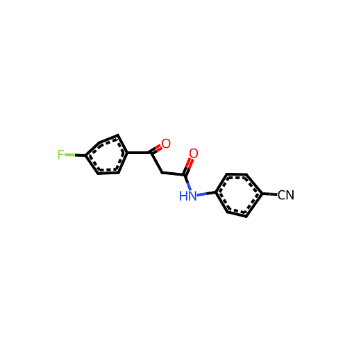 N#Cc1ccc(NC(=O)CC(=O)c2ccc(F)cc2)cc1